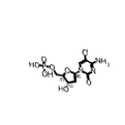 Nc1nc(=O)n([C@H]2C[C@H](O)[C@@H](COP(=O)(O)O)O2)cc1Cl